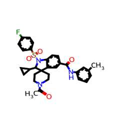 CC(=O)N1CCC2(CC1)c1cc(C(=O)Nc3cccc(C)c3)ccc1N(S(=O)(=O)c1ccc(F)cc1)C2C1CC1